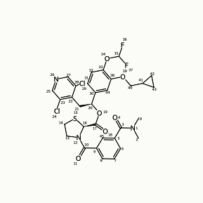 CN(C)C(=O)c1cccc(C(=O)N2CCS[C@H]2C(=O)O[C@@H](Cc2c(Cl)cncc2Cl)c2ccc(OC(F)F)c(OCC3CC3)c2)c1